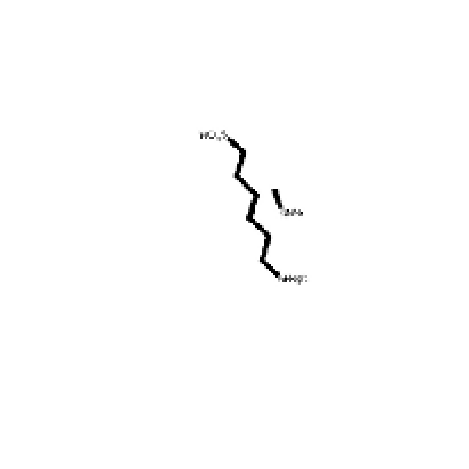 CCCCCCCCCCCCCS(=O)(=O)O.CNC